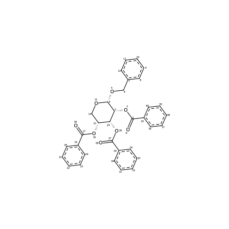 O=C(O[C@H]1[C@@H](OCc2ccccc2)OC[C@@H](OC(=O)c2ccccc2)[C@H]1OC(=O)c1ccccc1)c1ccccc1